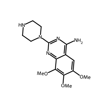 COc1cc2c(N)nc(N3CCNCC3)nc2c(OC)c1OC